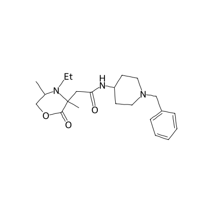 CCN1C(C)COC(=O)C1(C)CC(=O)NC1CCN(Cc2ccccc2)CC1